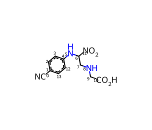 N#Cc1ccc(NC(CNCC(=O)O)[N+](=O)[O-])cc1